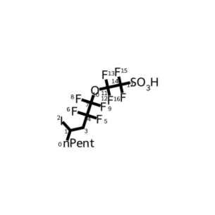 CCCCCC(I)CC(F)(F)C(F)(F)OC(F)(F)C(F)(F)S(=O)(=O)O